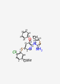 COc1ccc(Cl)c(Sc2cnc(N3C(C)=CSC3N)c(Oc3ccccc3)c2)c1